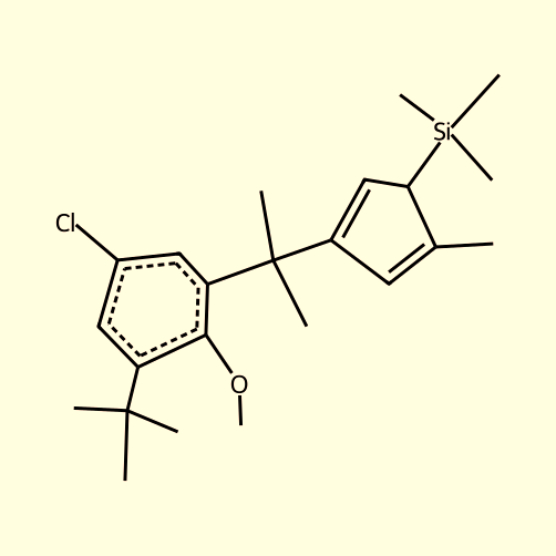 COc1c(C(C)(C)C)cc(Cl)cc1C(C)(C)C1=CC([Si](C)(C)C)C(C)=C1